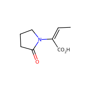 C/C=C(\C(=O)O)N1CCCC1=O